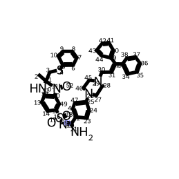 CC(C)(CSc1ccccc1)Nc1ccc(S(=O)(=O)/N=C(/N)c2ccc(N3CCN(CC=C(c4ccccc4)c4ccccc4)CC3)cc2)cc1N=O